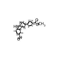 COC(=O)c1ccc(-c2cnc3[nH]c4ccc(N=O)cc4c3c2)cc1